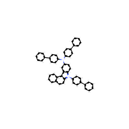 c1ccc(-c2ccc(N(c3ccc(-c4ccccc4)cc3)c3ccc4c(c3)c3c5ccccc5ccc3n4-c3ccc(-c4ccccc4)cc3)cc2)cc1